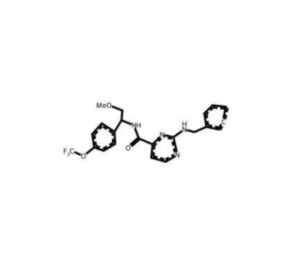 COCC(NC(=O)c1ccnc(NCc2ccccc2)n1)c1ccc(OC(F)(F)F)cc1